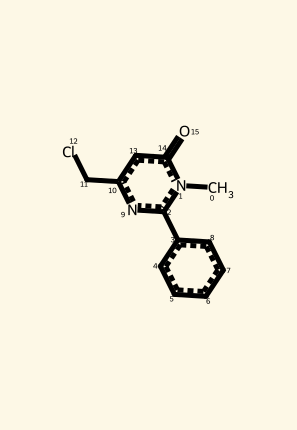 Cn1c(-c2ccccc2)nc(CCl)cc1=O